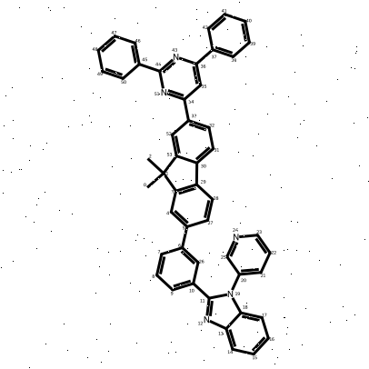 CC1(C)c2cc(-c3cccc(-c4nc5ccccc5n4-c4cccnc4)c3)ccc2-c2ccc(-c3cc(-c4ccccc4)nc(-c4ccccc4)n3)cc21